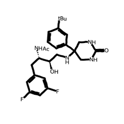 CC(=O)N[C@@H](Cc1cc(F)cc(F)c1)[C@H](O)CNC1(c2cccc(C(C)(C)C)c2)CNC(=O)NC1